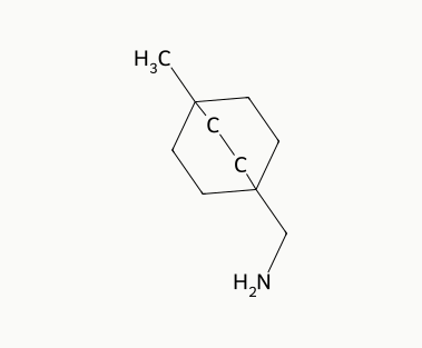 CC12CCC(CN)(CC1)CC2